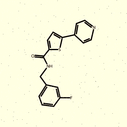 O=C(NCc1cccc(F)c1)c1ccc(-c2ccncc2)s1